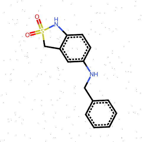 O=S1(=O)Cc2cc(NCc3ccccc3)ccc2N1